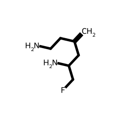 C=C(CCN)CC(N)CF